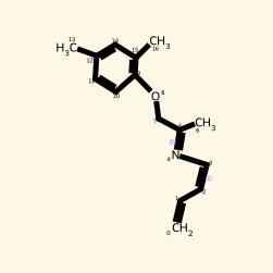 C=C/C=C\N=C(/C)COc1ccc(C)cc1C